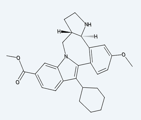 COC(=O)c1ccc2c(C3CCCCC3)c3n(c2c1)C[C@@H]1CCN[C@H]1c1cc(OC)ccc1-3